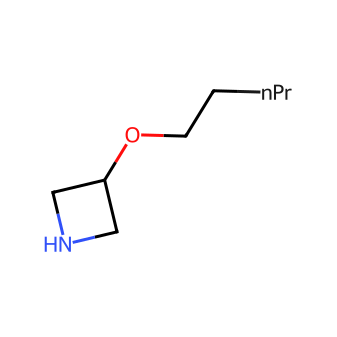 CCCCCOC1CNC1